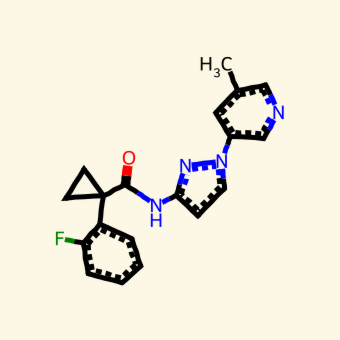 Cc1cncc(-n2ccc(NC(=O)C3(c4ccccc4F)CC3)n2)c1